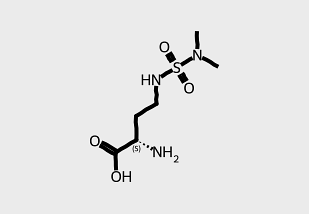 CN(C)S(=O)(=O)NCC[C@H](N)C(=O)O